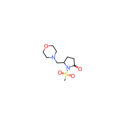 CS(=O)(=O)N1C(=O)CCC1CN1CCOCC1